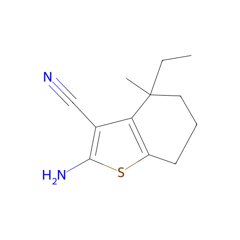 CCC1(C)CCCc2sc(N)c(C#N)c21